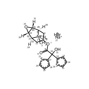 Br.C[N+]1(C)[C@@H]2CC(OC(=O)C(O)(c3cccs3)c3cccs3)C[C@H]1[C@@H]1O[C@@H]12.[Na+]